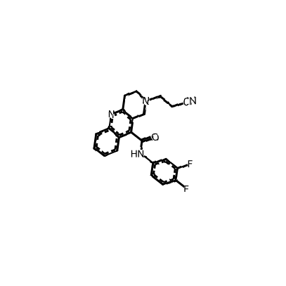 N#CCCN1CCc2nc3ccccc3c(C(=O)Nc3ccc(F)c(F)c3)c2C1